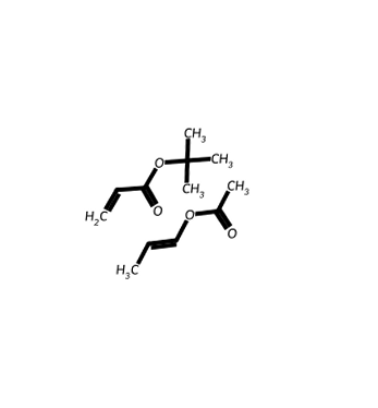 C=CC(=O)OC(C)(C)C.CC=COC(C)=O